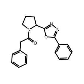 O=C(Cc1ccccc1)N1CCCC1c1nnc(-c2ccccc2)o1